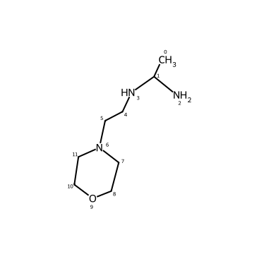 CC(N)NCCN1CCOCC1